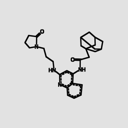 O=C(CC12CC3CC(CC(C3)C1)C2)Nc1cc(NCCCN2CCCC2=O)nc2ccccc12